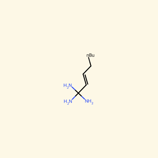 CCCCCC=CC(N)(N)N